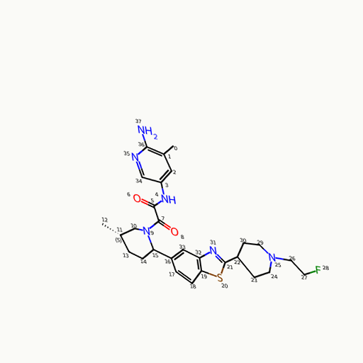 Cc1cc(NC(=O)C(=O)N2C[C@@H](C)CCC2c2ccc3sc(C4CCN(CCF)CC4)nc3c2)cnc1N